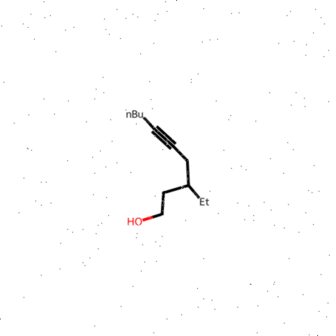 CCCCC#CCC(CC)CCO